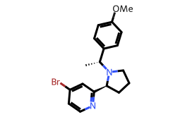 COc1ccc([C@@H](C)N2CCC[C@H]2c2cc(Br)ccn2)cc1